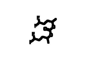 CC(CCC(F)F)OC(=O)OC(C)CCC(F)F